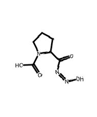 O=C(/N=N\O)C1CCCN1C(=O)O